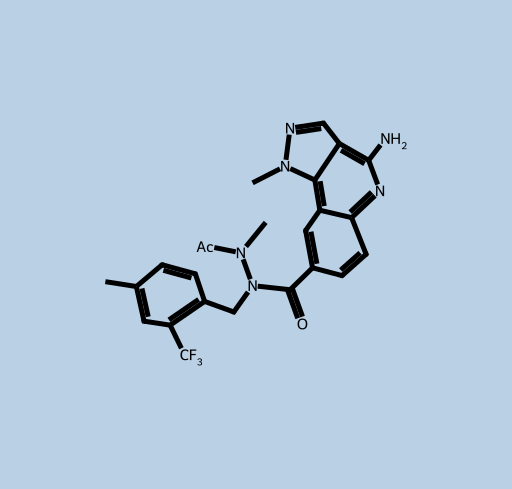 CC(=O)N(C)N(Cc1ccc(C)cc1C(F)(F)F)C(=O)c1ccc2nc(N)c3cnn(C)c3c2c1